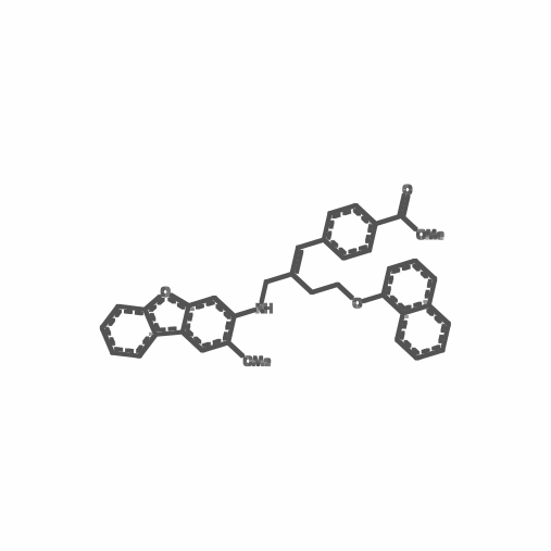 COC(=O)c1ccc(/C=C(\CCOc2cccc3ccccc23)CNc2cc3oc4ccccc4c3cc2OC)cc1